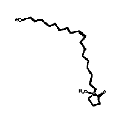 C[N+]1(CCCCCCCC/C=C\CCCCCCCCO)CCCC1=O